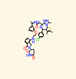 CC1=C(C)C2C(c3ccc(Cl)cc3)=N[C@@H](CC(=O)N[C@H](C)c3cccc(OCCNc4cccc5c4CN(C4CCC(=O)NC4=O)C5=O)c3)c3nnc(C)n3C2S1